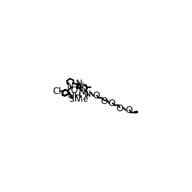 C#CCOCCOCCOCCOCCOCCN(C)c1nc2cc(C3CCCCN3C(=O)c3cc(Cl)ccc3NSC)nn2cc1C